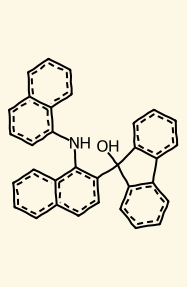 OC1(c2ccc3ccccc3c2Nc2cccc3ccccc23)c2ccccc2-c2ccccc21